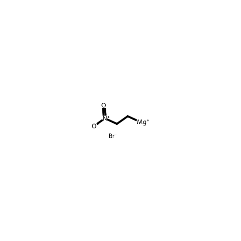 O=[N+]([O-])C[CH2][Mg+].[Br-]